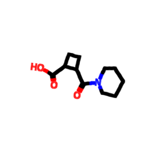 O=C(O)C1CCC1C(=O)N1CCCCC1